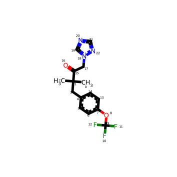 CC(C)(Cc1ccc(OC(F)(F)F)cc1)C(=O)Cn1cncn1